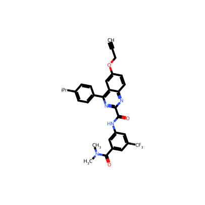 C#CCOc1ccc2nc(C(=O)Nc3cc(C(=O)N(C)C)cc(C(F)(F)F)c3)nc(-c3ccc(C(C)C)cc3)c2c1